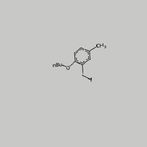 CCCCOc1ccc(C)cc1CI